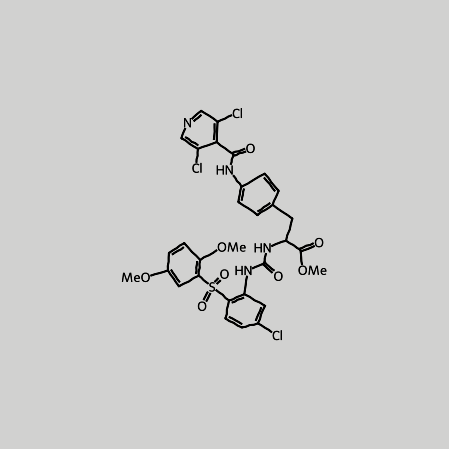 COC(=O)C(Cc1ccc(NC(=O)c2c(Cl)cncc2Cl)cc1)NC(=O)Nc1cc(Cl)ccc1S(=O)(=O)c1cc(OC)ccc1OC